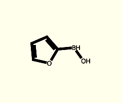 OBc1ccco1